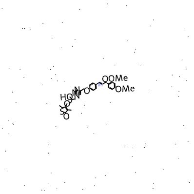 COc1ccc(C(=O)/C=C/c2ccc(OCc3cn(CC(O)COC4=C(C)C(=O)SC4C)nn3)cc2)c(OC)c1